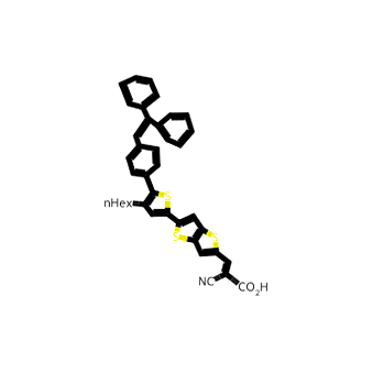 CCCCCCc1cc(-c2cc3sc(/C=C(\C#N)C(=O)O)cc3s2)sc1-c1ccc(C=C(c2ccccc2)c2ccccc2)cc1